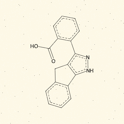 O=C(O)c1ccccc1-c1n[nH]c2c1Cc1ccccc1-2